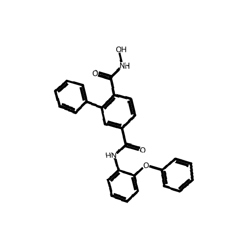 O=C(Nc1ccccc1Oc1ccccc1)c1ccc(C(=O)NO)c(-c2ccccc2)c1